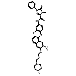 COc1cc2c(Oc3ccc(NC(=O)c4nn(-c5ccccc5)c(=O)n4C)cc3F)ccnc2cc1OCCCN1CCN(C)CC1